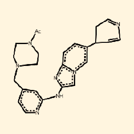 CC(=O)N1CCN(Cc2ccnc(Nc3cn4cc(C5C=CN=CC5)ccc4n3)c2)CC1